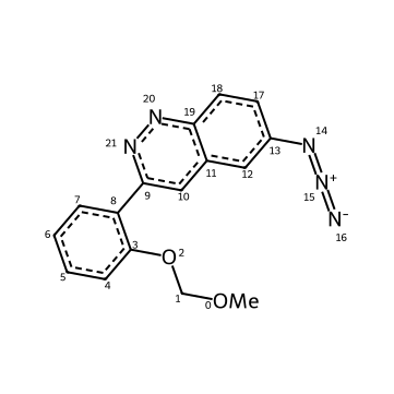 COCOc1ccccc1-c1cc2cc(N=[N+]=[N-])ccc2nn1